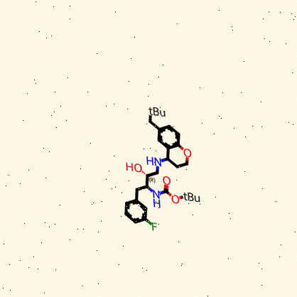 CC(C)(C)Cc1ccc2c(c1)C(NC[C@@H](O)C(Cc1cccc(F)c1)NC(=O)OC(C)(C)C)CCO2